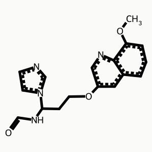 COc1cccc2cc(OCCC(NC=O)n3ccnc3)cnc12